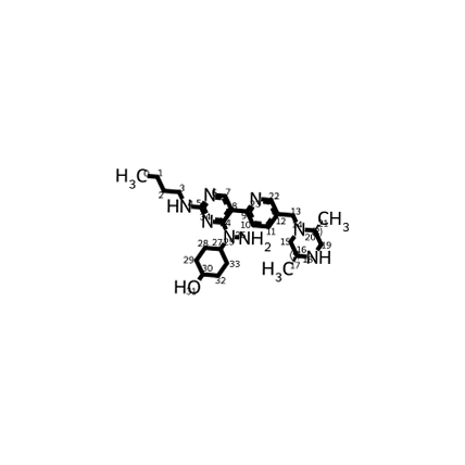 CCCCNc1ncc(-c2ccc(CN3C[C@H](C)NC[C@H]3C)cn2)c(N(N)C2CCC(O)CC2)n1